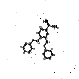 N=C(N)c1cc(OCc2ccccc2)c(OCc2ccccc2)cn1